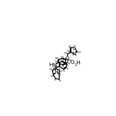 O=C(O)c1ccc(CN2C3CCC2CC(Nc2ccc(OCc4cscn4)cc2)C3)cc1